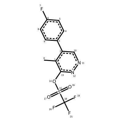 Cc1c(-c2ccc(F)cc2)cnnc1OS(=O)(=O)C(F)(F)F